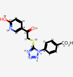 O=C(O)c1ccc(-n2nnnc2SCC(=O)c2ccc(O)nc2)cc1